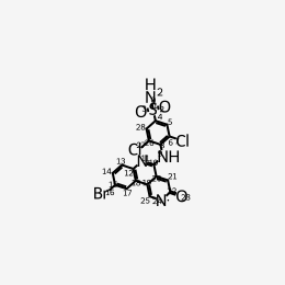 NS(=O)(=O)c1cc(Cl)c(Nc2nc3ccc(Br)cc3c3c2=CC(=O)[N]C=3)c(Cl)c1